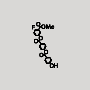 COC(=O)c1cc(OC(=O)c2ccc(OC(=O)c3ccc(O)cc3)cc2)ccc1F